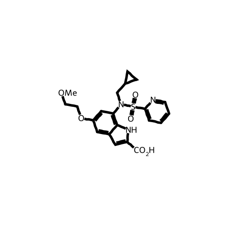 COCCOc1cc(N(CC2CC2)S(=O)(=O)c2ccccn2)c2[nH]c(C(=O)O)cc2c1